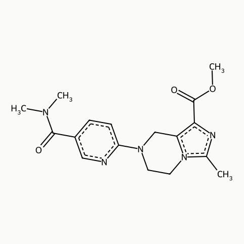 COC(=O)c1nc(C)n2c1CN(c1ccc(C(=O)N(C)C)cn1)CC2